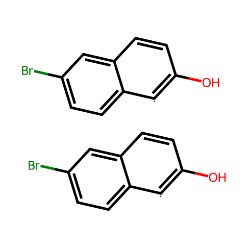 Oc1[c]c2ccc(Br)cc2cc1.Oc1[c]c2ccc(Br)cc2cc1